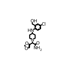 NC(=O)C(C1=COCO1)N1CCC(Nc2ccc(Cl)cc2CO)CC1